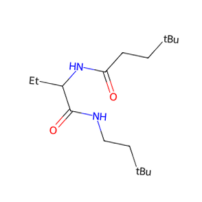 CCC(NC(=O)CCC(C)(C)C)C(=O)NCCC(C)(C)C